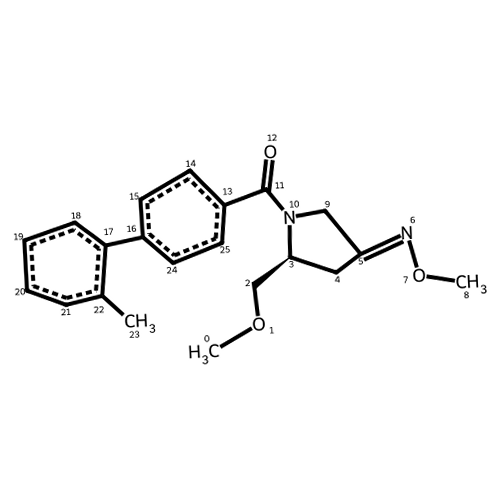 COC[C@@H]1C/C(=N\OC)CN1C(=O)c1ccc(-c2ccccc2C)cc1